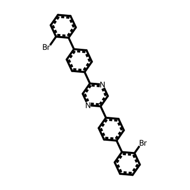 Brc1ccccc1-c1ccc(-c2cnc(-c3ccc(-c4ccccc4Br)cc3)cn2)cc1